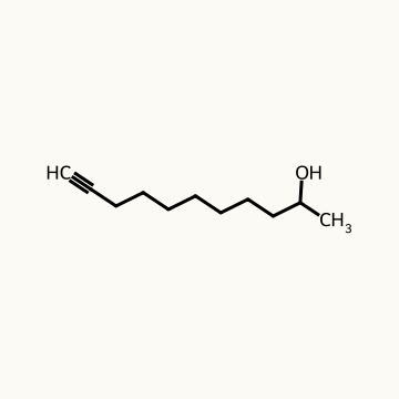 C#CCCCCCCCC(C)O